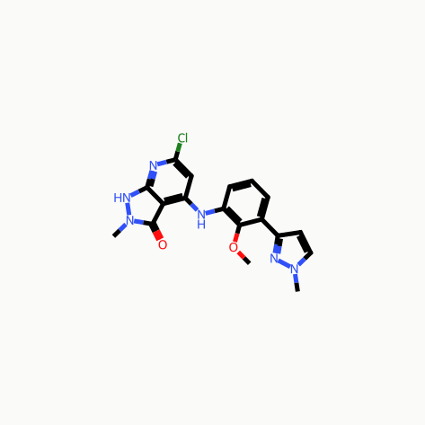 COc1c(Nc2cc(Cl)nc3[nH]n(C)c(=O)c23)cccc1-c1ccn(C)n1